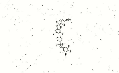 CCCC1COC(C(F)(F)Oc2ccc(C3CCC(C(F)(F)Oc4cc(F)c(F)c(F)c4)CC3)c(F)c2)OC1